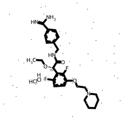 CCO[C@H](C(=O)NCc1ccc(C(=N)N)cc1)c1c(F)ccc(OCCN2CCCCC2)c1F.Cl.Cl